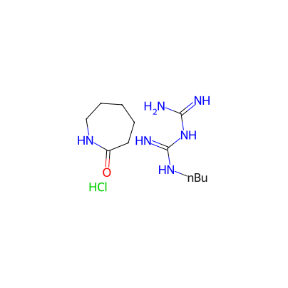 CCCCNC(=N)NC(=N)N.Cl.O=C1CCCCCN1